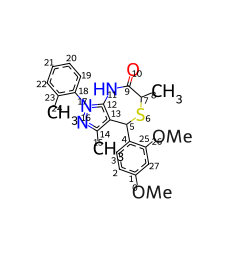 COc1ccc(C2SC(C)C(=O)Nc3c2c(C)nn3-c2ccccc2C)c(OC)c1